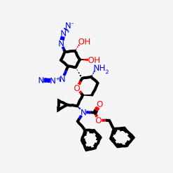 [N-]=[N+]=NC1CC(N=[N+]=[N-])[C@H](O)[C@@H](O)[C@@H]1C1O[C@H]([C@@H](C2CC2)N(Cc2ccccc2)C(=O)OCc2ccccc2)CC[C@H]1N